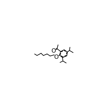 CCCCCCCOc1c(C(C)=O)cc(C(C)C)cc1C(C)C